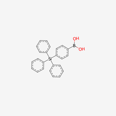 OB(O)c1ccc([Si](c2ccccc2)(c2ccccc2)c2ccccc2)cc1